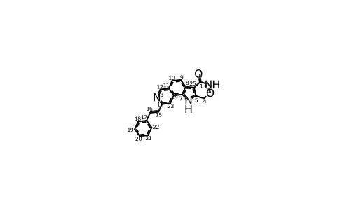 O=C1NOCc2[nH]c3c(ccc4cnc(C=Cc5ccccc5)cc43)c21